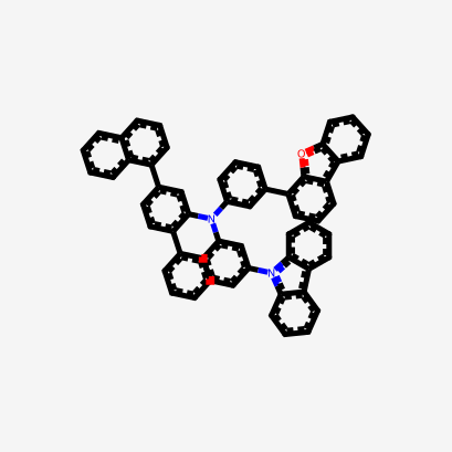 c1ccc(-c2ccc(-c3cccc4ccccc34)cc2N(c2cccc(-c3cccc4c3oc3ccccc34)c2)c2cccc(-n3c4ccccc4c4ccccc43)c2)cc1